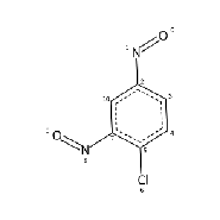 O=Nc1ccc(Cl)c(N=O)c1